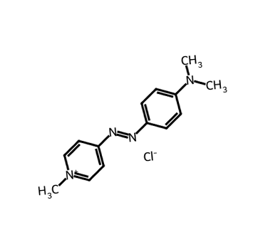 CN(C)c1ccc(/N=N/c2cc[n+](C)cc2)cc1.[Cl-]